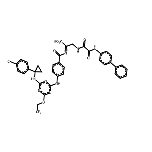 O=C(NC/C(=N/C(=O)c1ccc(Nc2nc(NC3(c4ccc(Cl)cc4)CC3)nc(OCC(F)(F)F)n2)cc1)C(=O)O)C(=O)Nc1ccc(-c2ccccc2)cc1